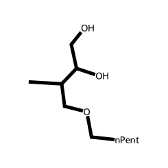 CCCCCCOCC(C)C(O)CO